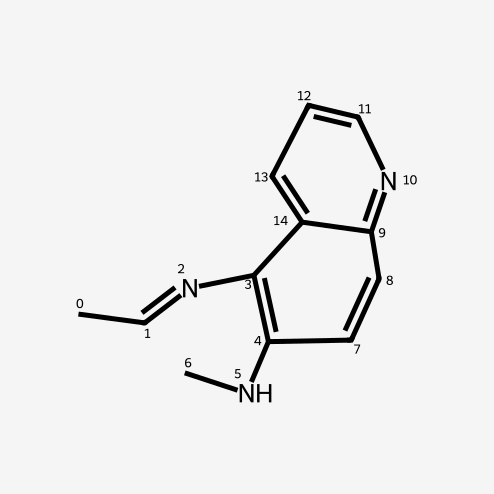 C/C=N/c1c(NC)ccc2ncccc12